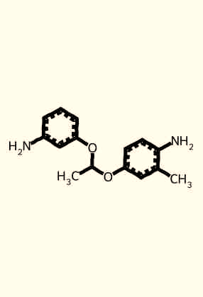 Cc1cc(OC(C)Oc2cccc(N)c2)ccc1N